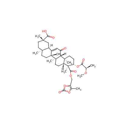 CO[C@H](C)C(=O)O[C@H]1CC[C@@]2(C)[C@@H](CC[C@]3(C)[C@@H]2C(=O)C=C2[C@@H]4C[C@@](C)(C(=O)O)CC[C@]4(C)CC[C@]23C)[C@]1(C)C(=O)OCc1oc(=O)oc1C